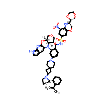 C=C(C)c1ccccc1[C@@H]1CCCN1C1CC2(CCN(c3ccc(C(=O)NS(=O)(=O)c4cc5c(c([N+](=O)[O-])c4)N[C@@H]([C@H]4COCCO4)CO5)c(N4c5cc6cc[nH]c6nc5O[C@@H]5COCC[C@H]54)c3)CC2)C1